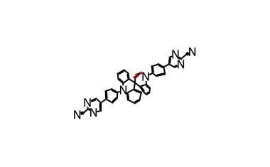 N#Cc1ncc(-c2ccc(N3c4ccccc4C4(c5ccccc53)c3ccccc3N(c3ccc(-c5cnc(C#N)nc5)cc3)c3ccccc34)cc2)cn1